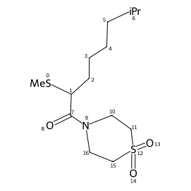 CSC(CCCCC(C)C)C(=O)N1CCS(=O)(=O)CC1